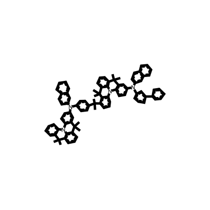 CC(C)(c1ccc(N(c2ccc3c(c2)C(C)(C)c2cccc4c2N3c2ccccc2C4(C)C)c2ccc3ccccc3c2)cc1)c1cccc2c1C(C)(C)c1cccc3c1N2c1ccc(N(c2cccc(-c4ccccc4)c2)c2ccc4ccccc4c2)cc1C3(C)C